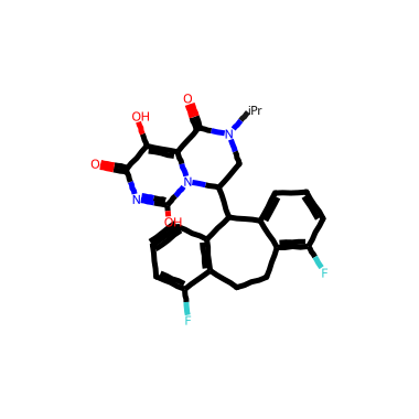 CC(C)N1CC(C2c3c#ccc(F)c3CCc3c(F)cccc32)n2c(O)nc(=O)c(O)c2C1=O